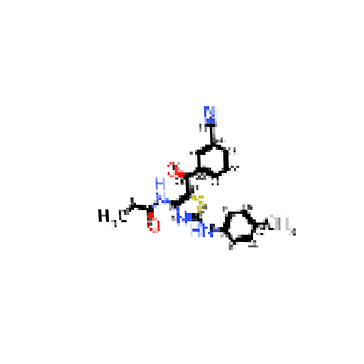 CCC(=O)Nc1nc(Nc2ccc(C)cc2)sc1C(=O)c1cccc(C#N)c1